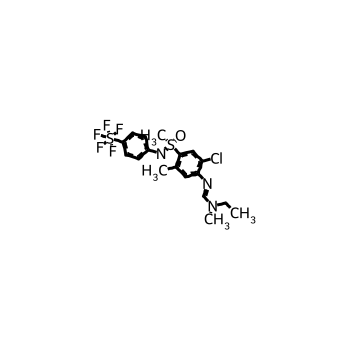 CCN(C)C=Nc1cc(C)c(S(C)(=O)=Nc2ccc(S(F)(F)(F)(F)F)cc2)cc1Cl